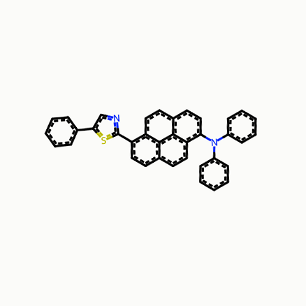 c1ccc(-c2cnc(-c3ccc4ccc5c(N(c6ccccc6)c6ccccc6)ccc6ccc3c4c65)s2)cc1